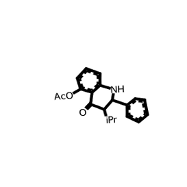 CC(=O)Oc1cccc2c1C(=O)C(C(C)C)C(c1ccccc1)N2